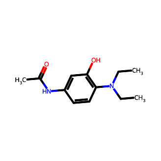 CCN(CC)c1ccc(NC(C)=O)cc1O